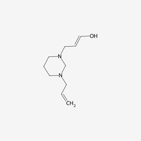 C=CCN1CCCN(CC=CO)C1